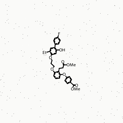 CCc1cc(-c2ccc(F)cc2)c(O)cc1OCCCOc1cccc(Oc2ccc(C(=O)OC)cc2)c1CCC(=O)OC